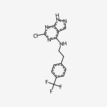 FC(F)(F)c1ccc(CCNc2nc(Cl)nc3[nH]ncc23)cc1